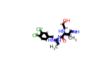 C/C=C(\NCc1ccc(Cl)c(Cl)c1)NC(=O)/C(NCCO)=C(\C)C=N